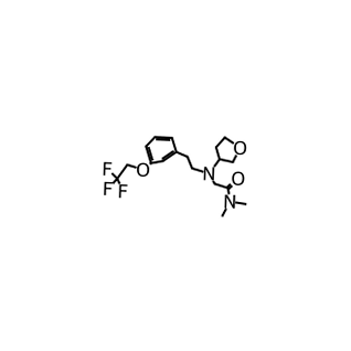 CN(C)C(=O)CN(CCc1cccc(OCC(F)(F)F)c1)C1CCOC1